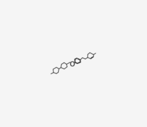 CC1C=CC(CCc2ccc(OCC3CCC(C4CCC(C)CC4)CC3)cc2)CC1